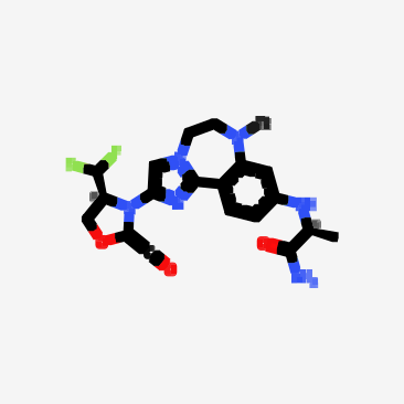 CCN1CCn2cc(N3C(=C=O)OC[C@H]3C(F)F)nc2-c2ccc(N[C@@H](C)C(N)=O)cc21